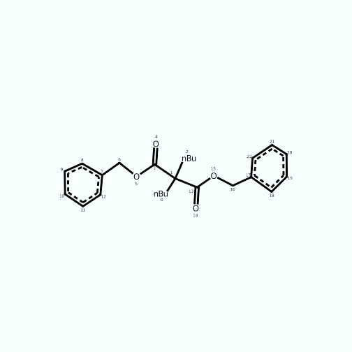 CCCCC(CCCC)(C(=O)OCc1ccccc1)C(=O)OCc1ccccc1